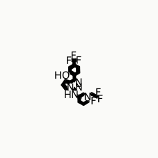 Oc1cc(C(F)(F)F)ccc1-c1nnc(N[C@@H]2CCCN(CC(F)(F)F)C2)n2cccc12